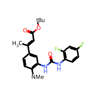 CNc1ccc(/C(C)=C/C(=O)OC(C)(C)C)cc1NC(=O)Nc1ccc(F)cc1F